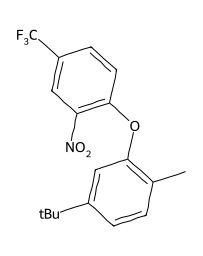 Cc1ccc(C(C)(C)C)cc1Oc1ccc(C(F)(F)F)cc1[N+](=O)[O-]